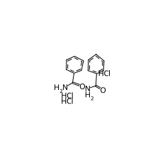 Cl.Cl.Cl.NC(=O)c1ccccc1.NC(=O)c1ccccc1